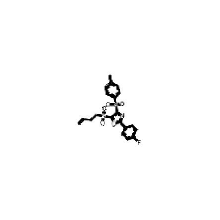 CCCCS(=O)(=O)c1oc(-c2ccc(F)cc2)nc1S(=O)(=O)c1ccc(C)cc1